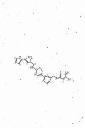 N=C(N)NC(=O)NCc1cccc(-c2cnc(NCc3cc(-c4ccco4)on3)nc2)c1